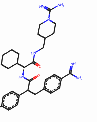 N=C(N)c1ccc(CC(C(=O)N[C@H](C(=O)NCC2CCN(C(=N)N)CC2)C2CCCCC2)c2ccc(Br)cc2)cc1